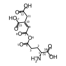 N[C@@H](CCC(=O)OC(=O)C=C(CC(=O)O)C(=O)O)C(=O)O